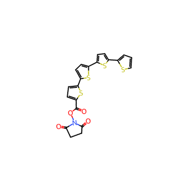 O=C(ON1C(=O)CCC1=O)c1ccc(-c2ccc(-c3ccc(-c4cccs4)s3)s2)s1